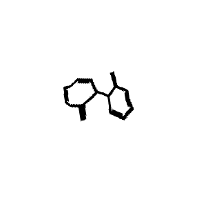 C=C1C=CC=CC1C1C=CC=CC1=C